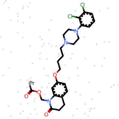 CC(C)C(=O)OCN1C(=O)CCc2ccc(OCCCCN3CCN(c4cccc(Cl)c4Cl)CC3)cc21